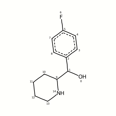 OC(c1ccc(F)cc1)C1CCCCN1